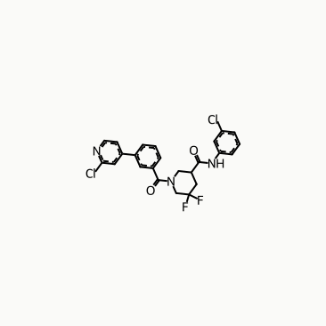 O=C(Nc1cccc(Cl)c1)C1CN(C(=O)c2cccc(-c3ccnc(Cl)c3)c2)CC(F)(F)C1